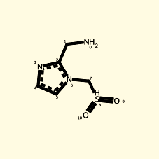 NCc1nccn1C[SH](=O)=O